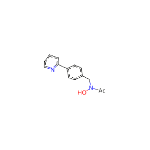 CC(=O)N(O)Cc1ccc(-c2ccccn2)cc1